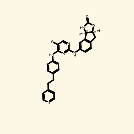 O=C1N[C@@H]2c3cc(Nc4ncc(F)c(Nc5ccc(CCc6ccncc6)cc5)n4)ccc3C[C@@H]2O1